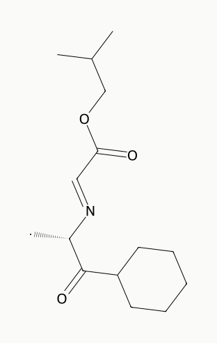 [CH2][C@H](N=CC(=O)OCC(C)C)C(=O)C1CCCCC1